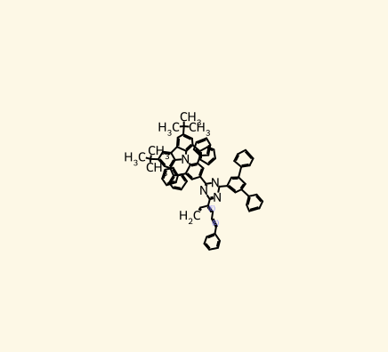 C=C/C(=C\C=C\c1ccccc1)c1nc(-c2cc(-c3ccccc3)cc(-c3ccccc3)c2)nc(-c2cc(-c3ccccc3)c(-n3c4c(-c5ccccc5)cc(C(C)(C)C)cc4c4cc(C(C)(C)C)cc(-c5ccccc5)c43)c(-c3ccccc3)c2)n1